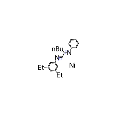 CCCCC(/C=N/c1cc(CC)cc(CC)c1)=N\c1ccccc1.[Ni]